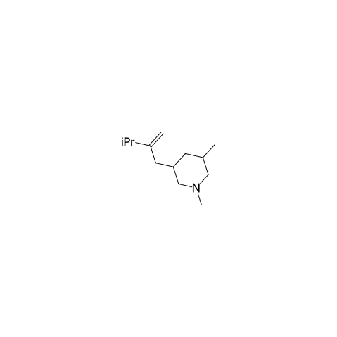 C=C(CC1CC(C)CN(C)C1)C(C)C